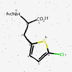 CC(=O)NC(Cc1ccc(Cl)s1)C(=O)O